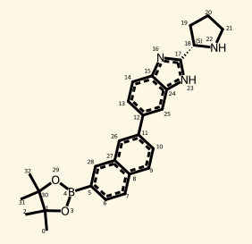 CC1(C)OB(c2ccc3ccc(-c4ccc5nc([C@@H]6CCCN6)[nH]c5c4)cc3c2)OC1(C)C